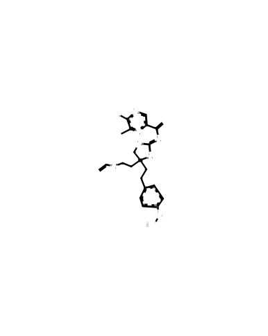 C=CNCCC1(CCc2ccc(NC(C)C)cc2)CN/C(=N\C(=C)c2cnc(S)c(C)n2)N1